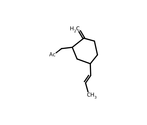 C=C1CCC(C=CC)CC1CC(C)=O